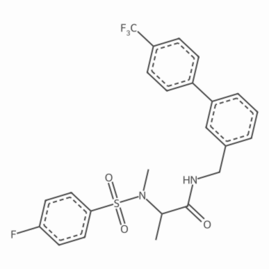 CC(C(=O)NCc1cccc(-c2ccc(C(F)(F)F)cc2)c1)N(C)S(=O)(=O)c1ccc(F)cc1